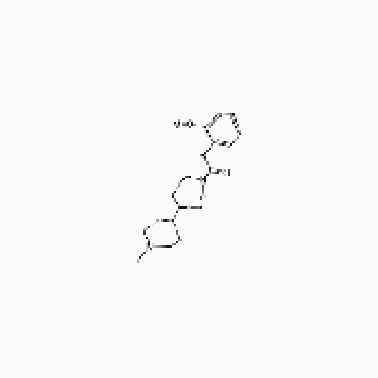 COc1ccccc1[CH]C(=O)N1CCC(C2CCN(C)CC2)CC1